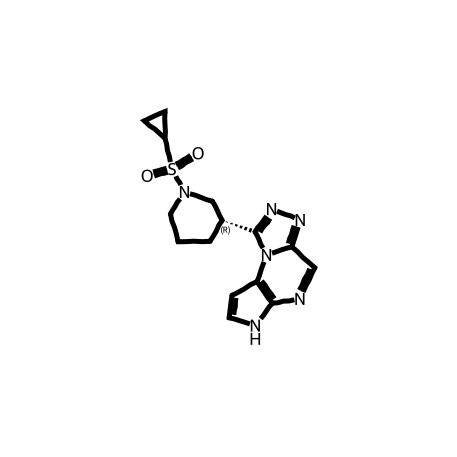 O=S(=O)(C1CC1)N1CCC[C@@H](c2nnc3cnc4[nH]ccc4n23)C1